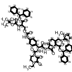 CCN1CCN(C(=O)N[C@@H](C(=O)N[C@@H]2C(=O)N3C(C(=O)OC(c4ccccc4)c4ccccc4)=C(CSc4nnnn4C)CS[C@H]23)c2ccc(NC(=O)OCC(NC(=O)OC(C)(C)C)C(=O)OC(c3ccccc3)c3ccccc3)cc2)C(=O)C1=O